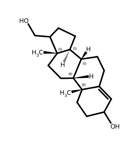 C[C@]12CCC(O)C=C1CC[C@@H]1[C@H]2CC[C@]2(C)C(CO)CC[C@@H]12